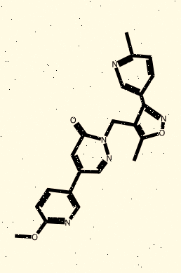 COc1ccc(-c2cnn(Cc3c(-c4ccc(C)nc4)noc3C)c(=O)c2)cn1